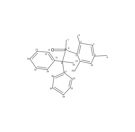 Cc1cc(C)c(P(C)(=O)C(C)(c2ccccc2)c2ccccc2)c(C)c1